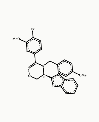 COc1ccc(CN2C(c3ccc(Br)c(OC)n3)=NOC[C@@H]2c2cc3ccccc3o2)cc1